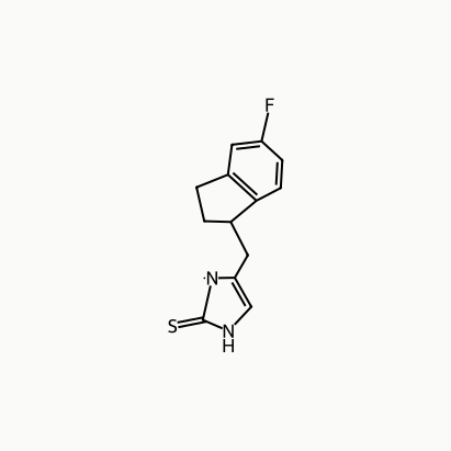 Fc1ccc2c(c1)CCC2CC1=CNC(=S)[N]1